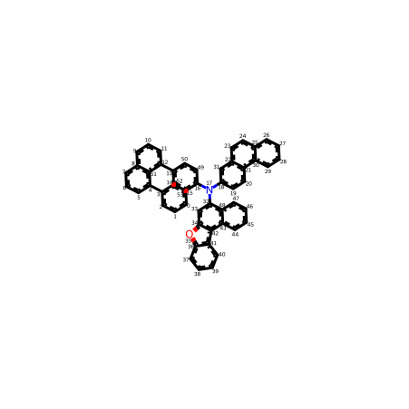 c1ccc(-c2cccc3cccc(-c4ccc(N(c5ccc6c(ccc7ccccc76)c5)c5cc6oc7ccccc7c6c6ccccc56)cc4)c23)cc1